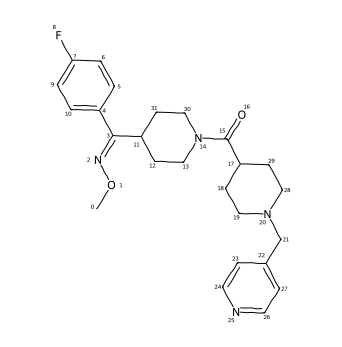 CO/N=C(/c1ccc(F)cc1)C1CCN(C(=O)C2CCN(Cc3ccncc3)CC2)CC1